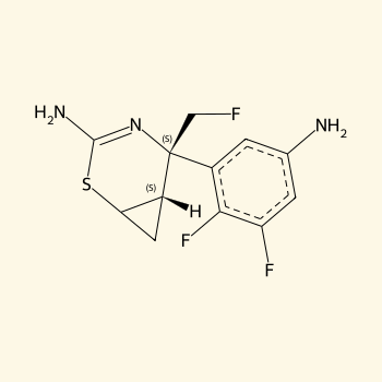 NC1=N[C@](CF)(c2cc(N)cc(F)c2F)[C@@H]2CC2S1